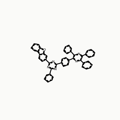 c1ccc(-c2nc(-c3ccc(-c4nc(-c5ccccc5)c(-c5ccccc5)nc4-c4ccccc4)cc3)nc(-c3ccc4c(c3)oc3ccccc34)n2)cc1